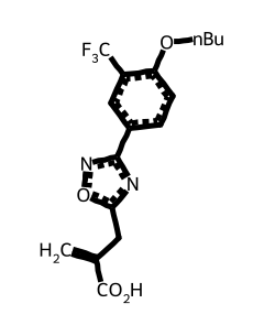 C=C(Cc1nc(-c2ccc(OCCCC)c(C(F)(F)F)c2)no1)C(=O)O